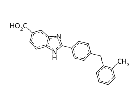 Cc1ccccc1Cc1ccc(-c2nc3cc(C(=O)O)ccc3[nH]2)cc1